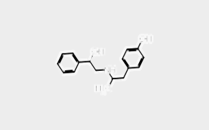 CC(Cc1ccc(O)cc1)NC[C@H](O)c1ccccc1